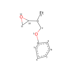 CCC(COc1ccccc1)C1CO1